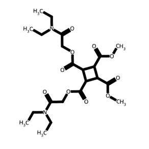 CCN(CC)C(=O)COC(=O)C1C(C(=O)OC)C(C(=O)OC)C1C(=O)OCC(=O)N(CC)CC